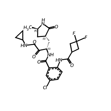 C[C@@H]1C[C@@H](C[C@H](NC(=O)c2cc(Cl)ccc2NC(=O)C2CC(F)(F)C2)C(=O)C(=O)NC2CC2)C(=O)N1